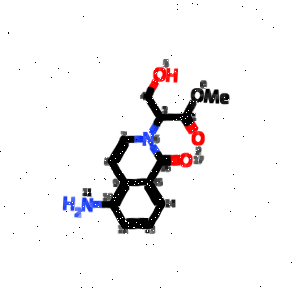 COC(=O)C(CO)n1ccc2c(N)cccc2c1=O